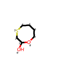 OC1CSCCCCO1